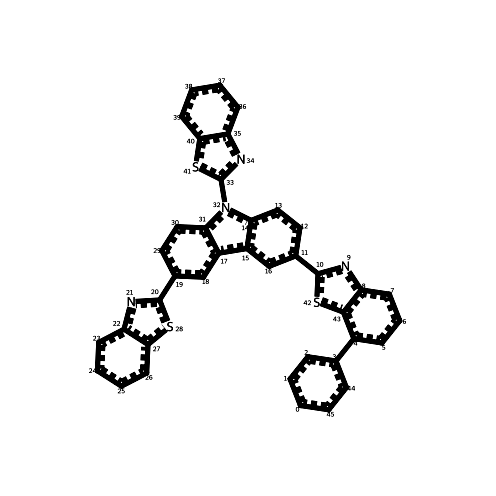 c1ccc(-c2cccc3nc(-c4ccc5c(c4)c4cc(-c6nc7ccccc7s6)ccc4n5-c4nc5ccccc5s4)sc23)cc1